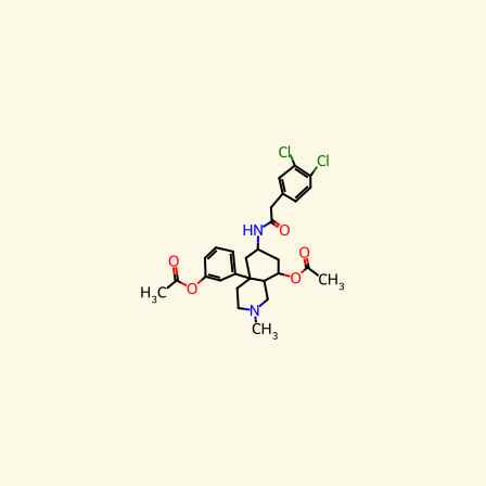 CC(=O)Oc1cccc(C23CCN(C)CC2C(OC(C)=O)CC(NC(=O)Cc2ccc(Cl)c(Cl)c2)C3)c1